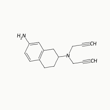 C#CCN(CC#C)C1CCc2ccc(N)cc2C1